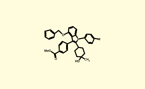 COC(=O)c1ccc(-c2c(C3CCC(C)(O)CC3)n(-c3ccc(F)cc3)c3cccc(OCc4ccccc4)c23)cc1